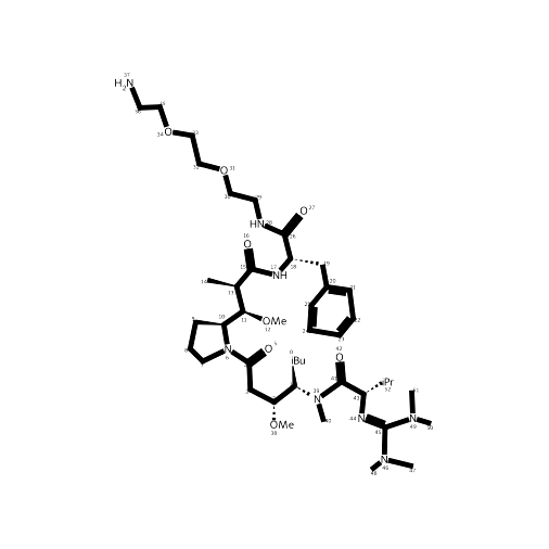 CC[C@H](C)[C@@H]([C@@H](CC(=O)N1CCC[C@H]1[C@H](OC)[C@@H](C)C(=O)N[C@@H](Cc1ccccc1)C(=O)NCCOCCOCCN)OC)N(C)C(=O)[C@@H](N=C(N(C)C)N(C)C)C(C)C